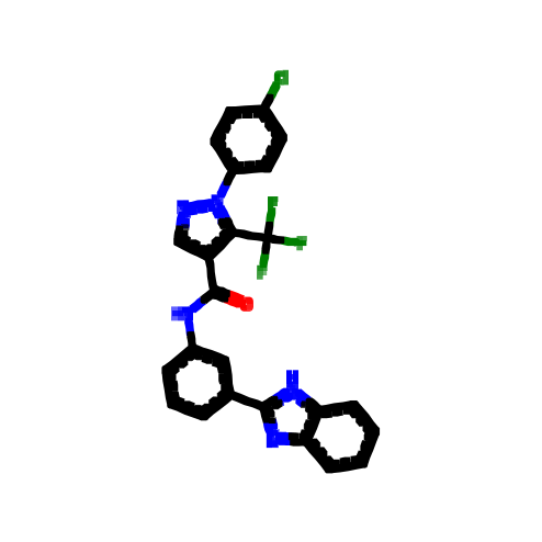 O=C(Nc1cccc(-c2nc3ccccc3[nH]2)c1)c1cnn(-c2ccc(Cl)cc2)c1C(F)(F)F